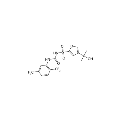 CC(C)(O)c1coc(S(=O)(=O)NC(=O)Nc2cc(C(F)(F)F)ccc2C(F)(F)F)c1